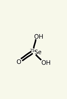 O=[75Se](O)O